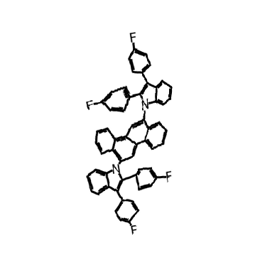 Fc1ccc(-c2c(-c3ccc(F)cc3)n(-c3cc4c5ccccc5c(-n5c(-c6ccc(F)cc6)c(-c6ccc(F)cc6)c6ccccc65)cc4c4ccccc34)c3ccccc23)cc1